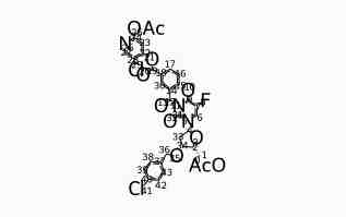 CC(=O)OC[C@H]1O[C@@H](n2cc(F)c(=O)n(C(=O)c3cccc(C(=O)Oc4cc(OC(C)=O)ncc4Cl)c3)c2=O)C[C@@H]1OCc1ccc(Cl)cc1